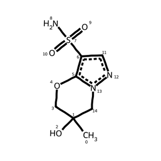 CC1(O)COc2c(S(N)(=O)=O)cnn2C1